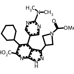 COC(=O)N1CC(c2n[nH]c3nc(C(=O)O)c(C4CCCCC4)c(-c4cnc(N(C)C)nc4)c23)C1